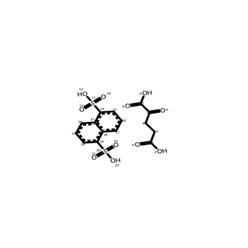 O=C(O)CCC(=O)C(=O)O.O=S(=O)(O)c1cccc2c(S(=O)(=O)O)cccc12